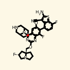 N#Cc1c(N)sc2c(F)ccc(-c3c(Cl)cc4c(N5C6CNCC5COC6)nc(OC[C@@]56CCCN5C[C@H](F)C6)nc4c3F)c12